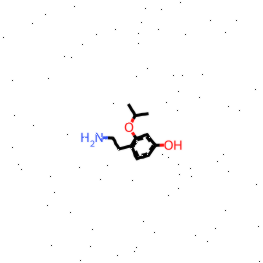 CC(C)Oc1cc(O)ccc1CCN